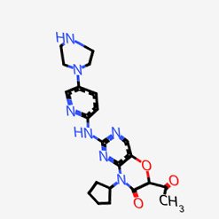 CC(=O)C1Oc2cnc(Nc3ccc(N4CCNCC4)cn3)nc2N(C2CCCC2)C1=O